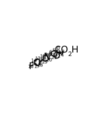 O=C(O)[C@@]1(C2CC2)CC[C@@H](N2CCC(c3ccc(F)cc3)CC2)CO1